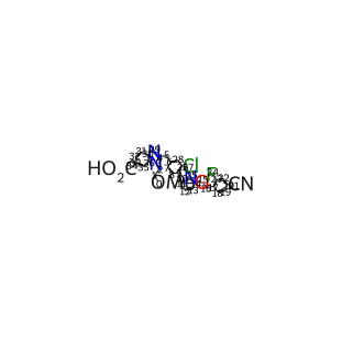 COCCn1c(Cc2ccc(-c3cccc(OCc4ccc(C#N)cc4F)n3)c(Cl)c2)nc2ccc(C(=O)O)cc21